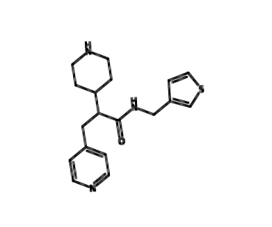 O=C(NCc1ccsc1)C(Cc1ccncc1)C1CCNCC1